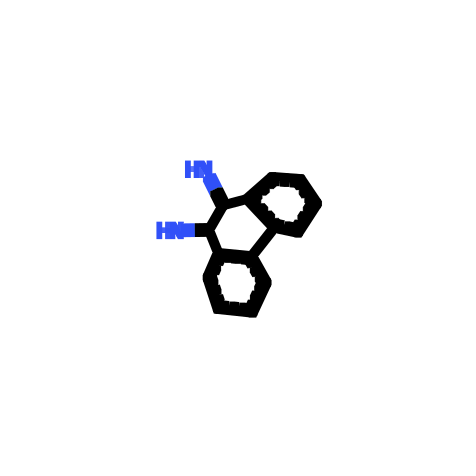 N=C1C(=N)c2ccccc2-c2ccccc21